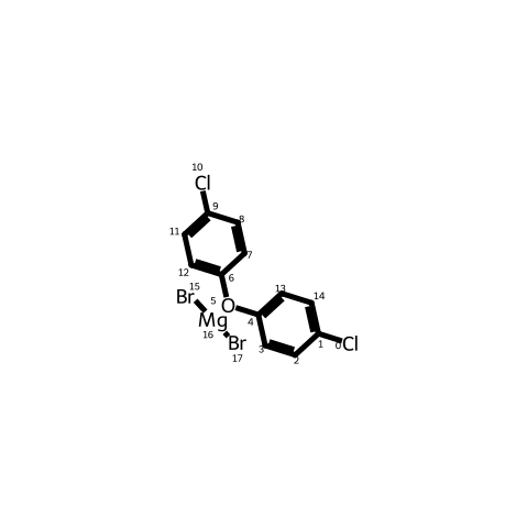 Clc1ccc(Oc2ccc(Cl)cc2)cc1.[Br][Mg][Br]